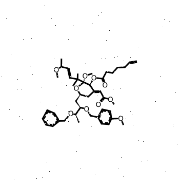 C=CCCCCC(=O)O[C@H]1/C(=C/C(=O)OC)C[C@@H](C[C@@H](OCc2ccc(OC)cc2)[C@@H](C)OCc2ccccc2)O[C@@]1(OC)C(C)(C)/C=C/C(C)OC